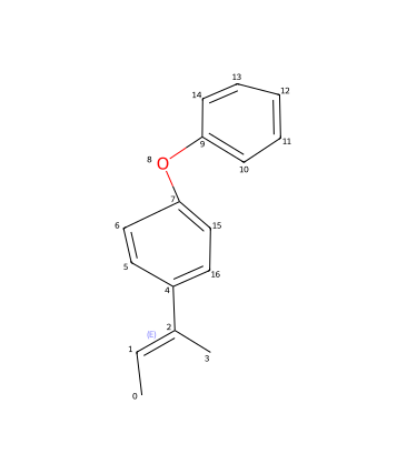 C/C=C(\C)c1ccc(Oc2ccccc2)cc1